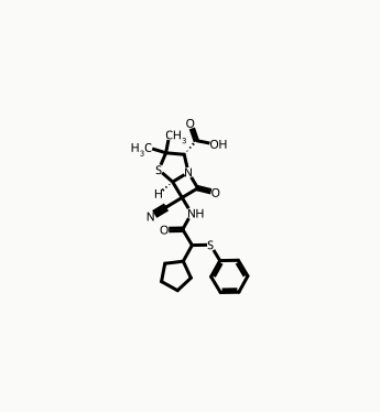 CC1(C)S[C@H]2N(C(=O)C2(C#N)NC(=O)C(Sc2ccccc2)C2CCCC2)[C@H]1C(=O)O